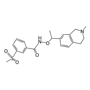 CC(ONC(=O)c1cccc(S(C)(=O)=O)c1)c1ccc2c(c1)CN(C)CC2